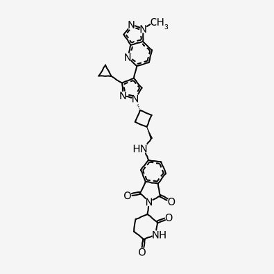 Cn1ncc2nc(-c3cn([C@H]4C[C@H](CNc5ccc6c(c5)C(=O)N(C5CCC(=O)NC5=O)C6=O)C4)nc3C3CC3)ccc21